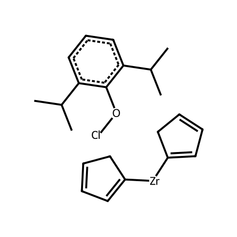 C1=CC[C]([Zr][C]2=CC=CC2)=C1.CC(C)c1cccc(C(C)C)c1OCl